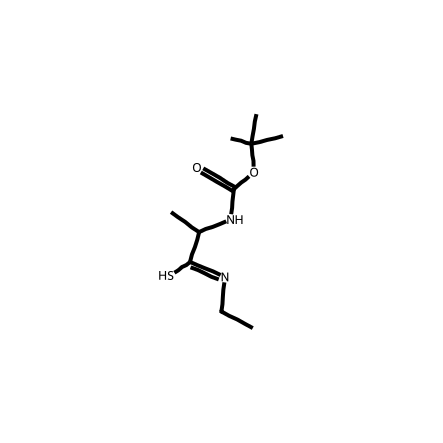 CCN=C(S)C(C)NC(=O)OC(C)(C)C